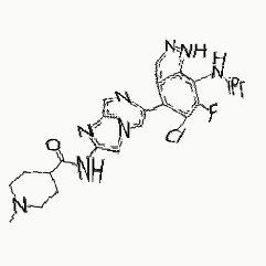 CC(C)Nc1c(F)c(Cl)c(-c2cn3cc(NC(=O)C4CCN(C)CC4)nc3cn2)c2cn[nH]c12